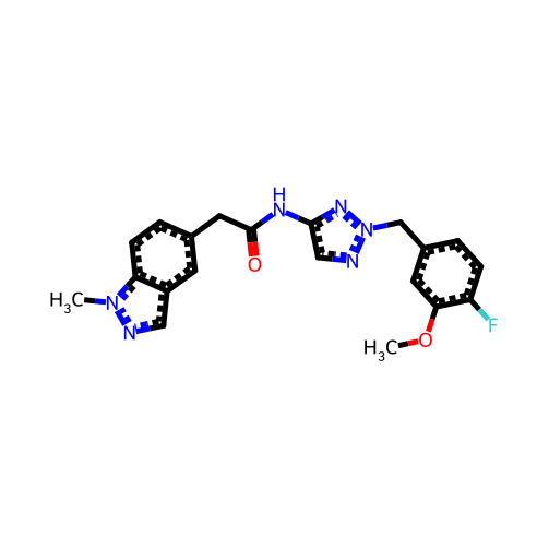 COc1cc(Cn2ncc(NC(=O)Cc3ccc4c(cnn4C)c3)n2)ccc1F